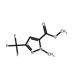 COC(=O)c1cc(C(F)(F)F)nn1C